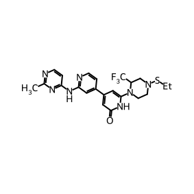 CCSN1CCN(c2cc(-c3ccnc(Nc4ccnc(C)n4)c3)cc(=O)[nH]2)C(C(F)(F)F)C1